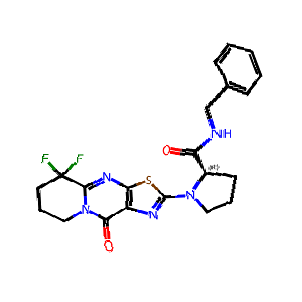 O=C(NCc1ccccc1)[C@H]1CCCN1c1nc2c(=O)n3c(nc2s1)C(F)(F)CCC3